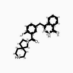 O=C(c1cc(Cc2n[nH]c(=O)c3ccccc23)ccc1F)N1CCC2(CCNCC2)C1